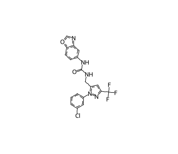 O=C(NCc1cc(C(F)(F)F)nn1-c1cccc(Cl)c1)Nc1ccc2ocnc2c1